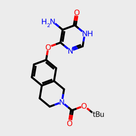 CC(C)(C)OC(=O)N1CCc2ccc(Oc3nc[nH]c(=O)c3N)cc2C1